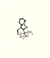 CC(C)(O)c1nn2ccccc2c1C=O